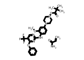 C=CC(N)=O.COc1cc(N2CCN(OC(=O)C(C)(C)C)CC2)ccc1Nc1ncc(C(F)(F)F)c(Oc2ccccc2)n1